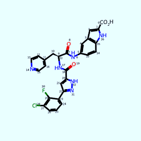 O=C(O)c1cc2cc(NC(=O)[C@H](Cc3ccncc3)NC(=O)c3cc(-c4cccc(Cl)c4F)n[nH]3)ccc2[nH]1